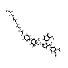 COc1cc(-n2c(N(C)c3ccc(OC)c(OC)c3)cnc2SCc2c(F)cc(-c3ccc(OCCOCCOCCOCCCl)cc3)cc2F)ccc1F